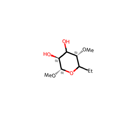 CCC1O[C@H](OC)[C@@H](O)C(O)[C@@H]1OC